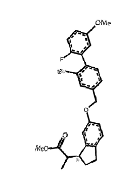 COC(=O)C(C)[C@@H]1CCc2ccc(OCc3ccc(-c4cc(OC)ccc4F)c(C(C)(C)C)c3)cc21